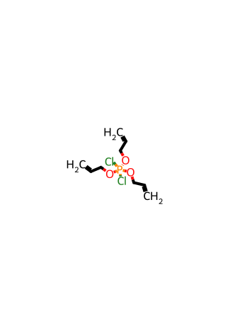 C=CCOP(Cl)(Cl)(OCC=C)OCC=C